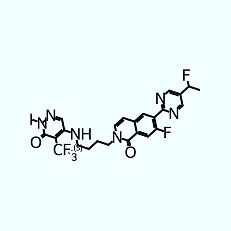 CC(F)c1cnc(-c2cc3ccn(CCC[C@H](C)Nc4cnn(I)c(=O)c4C(F)(F)F)c(=O)c3cc2F)nc1